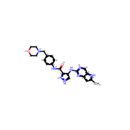 Cc1cc2nc(Nc3c[nH]nc3C(=O)Nc3ccc(CN4CCOCC4)cc3)ncc2[nH]1